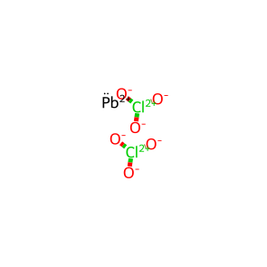 [O-][Cl+2]([O-])[O-].[O-][Cl+2]([O-])[O-].[Pb+2]